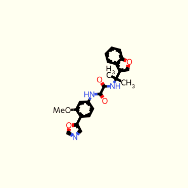 COc1cc(NC(=O)C(=O)NC(C)(C)c2coc3ccccc23)ccc1-c1cnco1